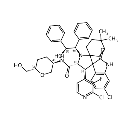 CC1(C)CCC2(CC1)N([C@H](c1ccccc1)[C@@H](O)c1ccccc1)[C@@H](C(=O)N[C@@H]1CC[C@@H](CO)OC1)[C@H](c1ccnc(Cl)c1F)C21C(=O)Nc2cc(Cl)ccc21